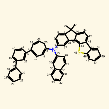 CC1(C)c2ccc(N(C3=CC=C(c4cccc(-c5ccccc5)c4)C=CC3)c3ccc4ccccc4c3)cc2-c2c1ccc1c2sc2ccccc21